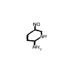 NC1CCC(N=O)CN1